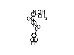 CC(O)c1cc(C(=O)N2CCN(C(=O)/C=C/c3ccc4c(c3)OC(F)(F)O4)CC2)ccn1